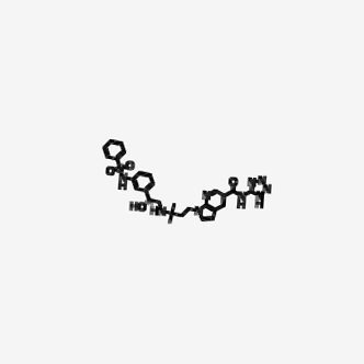 CC(C)(CCn1ccc2cc(C(=O)Nc3nnn[nH]3)cnc21)NC[C@H](O)c1cccc(NS(=O)(=O)c2ccccc2)c1